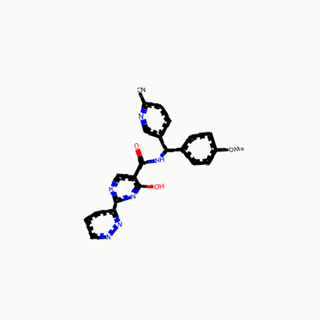 COc1ccc(C(NC(=O)c2cnc(-c3cccnn3)nc2O)c2ccc(C#N)nc2)cc1